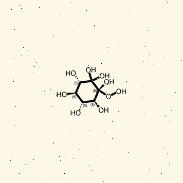 OO[C@]1(O)[C@@H](O)[C@H](O)[C@@H](O)[C@H](O)C1(O)O